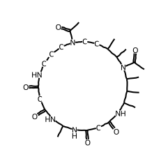 CC(=O)N1CCCNC(=O)CC(=O)NC(C)NC(=O)CC(=O)NC(C)C(C)C(C)N(C(C)=O)C(C)C(C)CC1